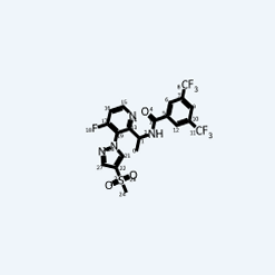 CC(NC(=O)c1cc(C(F)(F)F)cc(C(F)(F)F)c1)c1nccc(F)c1-n1cc(S(C)(=O)=O)cn1